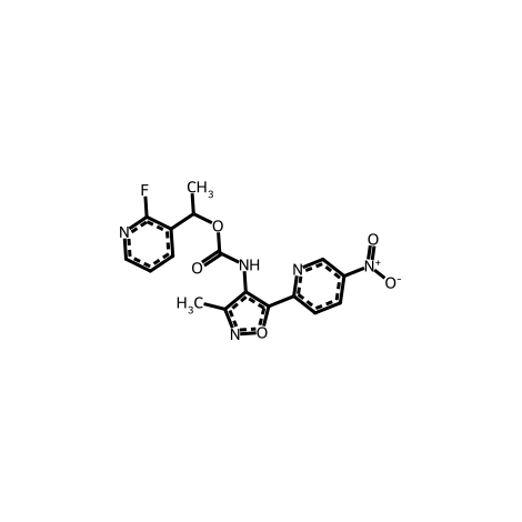 Cc1noc(-c2ccc([N+](=O)[O-])cn2)c1NC(=O)OC(C)c1cccnc1F